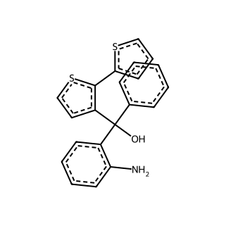 Nc1ccccc1C(O)(c1ccccc1)c1ccsc1-c1cccs1